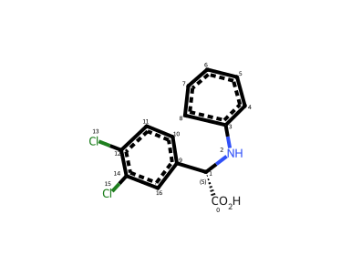 O=C(O)[C@@H](Nc1ccccc1)c1ccc(Cl)c(Cl)c1